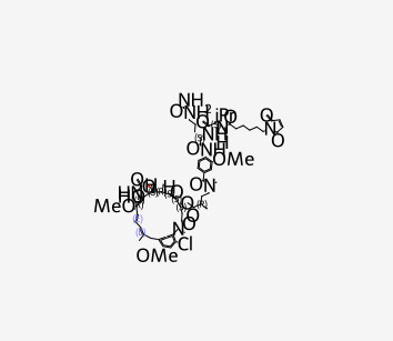 COc1cc(C(=O)N(C)CC[C@@H](C)C(=O)O[C@H]2CC(=O)N(C)c3cc(cc(OC)c3Cl)C/C(C)=C/C=C/[C@@H](OC)[C@@]3(O)C[C@H](OC(=O)N3)[C@@H](C)[C@@H]3O[C@@]23C)ccc1NC(=O)[C@H](CCCNC(N)=O)NC(=O)[C@@H](NC(=O)CCCCCN1C(=O)C=CC1=O)C(C)C